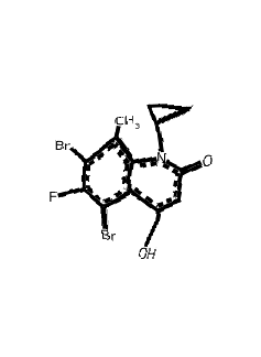 Cc1c(Br)c(F)c(Br)c2c(O)cc(=O)n(C3CC3)c12